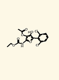 CCOC(=O)Nc1oc(-c2c(Cl)cccc2Cl)c(O)c1OC(C)=O